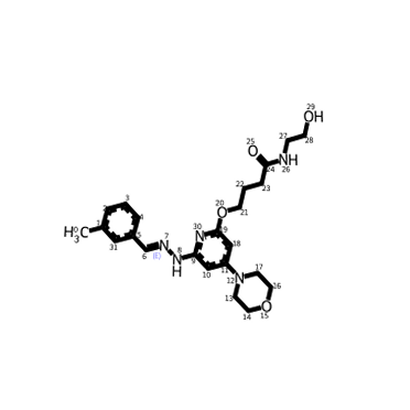 Cc1cccc(/C=N/Nc2cc(N3CCOCC3)cc(OCCCC(=O)NCCO)n2)c1